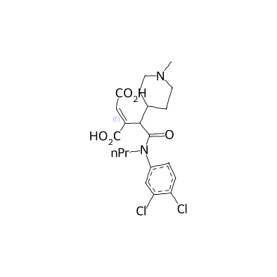 CCCN(C(=O)C(/C(=C\C(=O)O)C(=O)O)C1CCN(C)CC1)c1ccc(Cl)c(Cl)c1